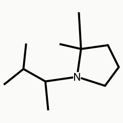 CC(C)C(C)N1CCCC1(C)C